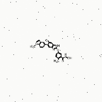 Cc1ccc(Oc2nc3cc(-c4ccc5c(ccn5C)c4)c(Cl)cc3[nH]2)cc1C(=O)NO